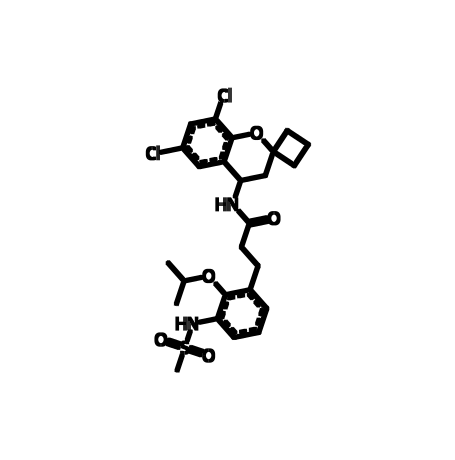 CC(C)Oc1c(CCC(=O)NC2CC3(CCC3)Oc3c(Cl)cc(Cl)cc32)cccc1NS(C)(=O)=O